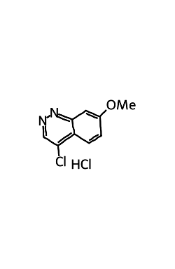 COc1ccc2c(Cl)cnnc2c1.Cl